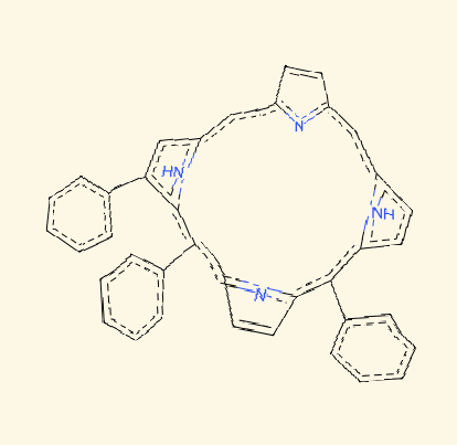 C1=Cc2cc3cc(-c4ccccc4)c([nH]3)c(-c3ccccc3)c3nc(c(-c4ccccc4)c4ccc(cc1n2)[nH]4)C=C3